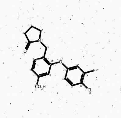 O=C(O)c1ccc(CN2CCCC2=O)c(Oc2ccc(Cl)c(F)c2)c1